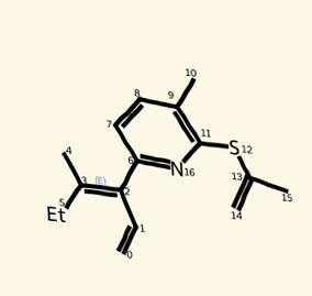 C=C/C(=C(/C)CC)c1ccc(C)c(SC(=C)C)n1